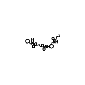 CCCCC(=O)NCC1CCCC(CNC(=O)OCCCOC(=O)NCC2CCCCC2)C1